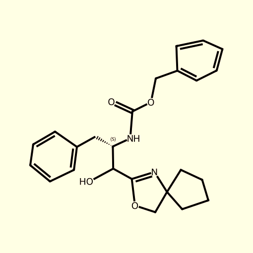 O=C(N[C@@H](Cc1ccccc1)C(O)C1=NC2(CCCC2)CO1)OCc1ccccc1